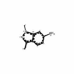 Bc1ccc2c(C)nn(C)c2c1